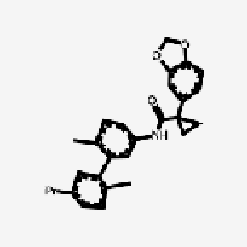 Cc1ccc(NC(=O)C2(c3ccc4c(c3)OCO4)CC2)cc1-c1cc(C(C)C)ccc1C